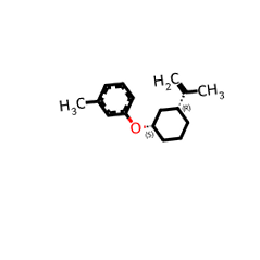 C=C(C)[C@@H]1CCC[C@H](Oc2cccc(C)c2)C1